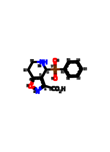 O=C(O)c1noc2c1C(S(=O)(=O)c1ccccc1)NCC2